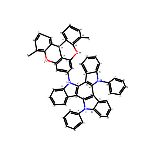 Cc1cccc2c1Oc1cc(-n3c4ccccc4c4c5c(c6ccccc6n5-c5ccccc5)c5c(c6ccccc6n5-c5ccccc5)c43)cc3c1B2c1cccc(C)c1O3